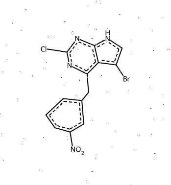 O=[N+]([O-])c1cccc(Cc2nc(Cl)nc3[nH]cc(Br)c23)c1